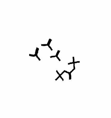 C=C(C)C.C=C(C)C.C=C(C)C.C=C(CC(C)(C)C)CC(C)(C)C